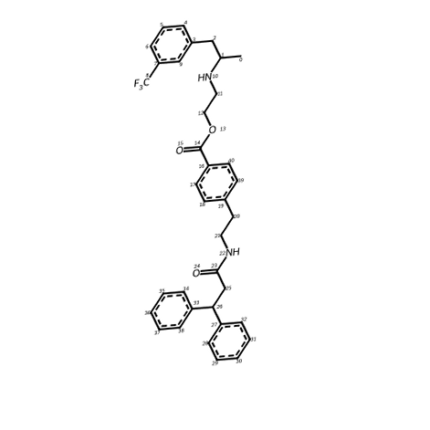 CC(Cc1cccc(C(F)(F)F)c1)NCCOC(=O)c1ccc(CCNC(=O)CC(c2ccccc2)c2ccccc2)cc1